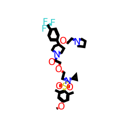 COc1cc(C)c(S(=O)(=O)N(CCOCC(=O)N2CCC(OCCN3CCCC3)(c3ccc(C(F)(F)F)cc3)CC2)C2CC2)c(C)c1